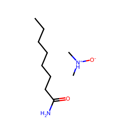 CCCCCCCC(N)=O.C[NH+](C)[O-]